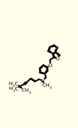 CN(CC=CC#CC(C)(C)C)Cc1cccc(OCc2occ3ccccc23)c1